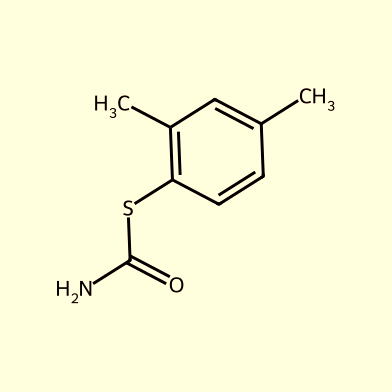 Cc1ccc(SC(N)=O)c(C)c1